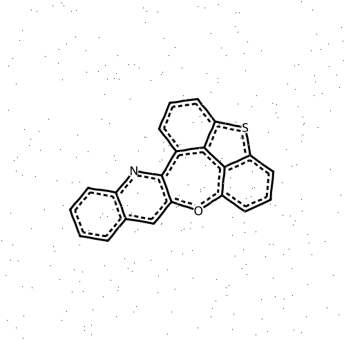 c1ccc2nc3c(cc2c1)oc1cccc2sc4cccc3c4c12